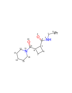 CC(C)CNC(=O)C1CCC1C(=O)N1CCCCC1